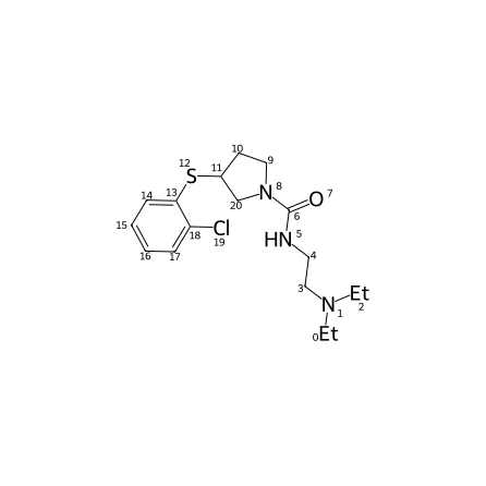 CCN(CC)CCNC(=O)N1CCC(Sc2ccccc2Cl)C1